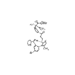 COC(=O)C(C)(C)OC(=O)CC[C@@H]1N=C(c2ccccn2)c2cc(Br)ccc2-n2c(C)cnc21